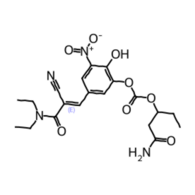 CCC(CC(N)=O)OC(=O)Oc1cc(/C=C(\C#N)C(=O)N(CC)CC)cc([N+](=O)[O-])c1O